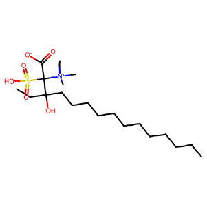 CCCCCCCCCCCCC(O)(CC)C(C(=O)[O-])([N+](C)(C)C)S(=O)(=O)O